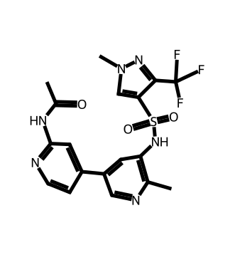 CC(=O)Nc1cc(-c2cnc(C)c(NS(=O)(=O)c3cn(C)nc3C(F)(F)F)c2)ccn1